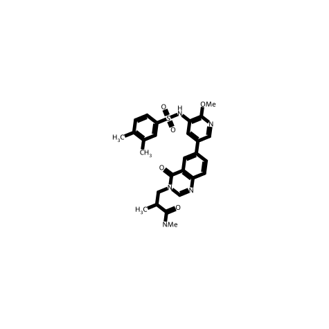 CNC(=O)C(C)Cn1cnc2ccc(-c3cnc(OC)c(NS(=O)(=O)c4ccc(C)c(C)c4)c3)cc2c1=O